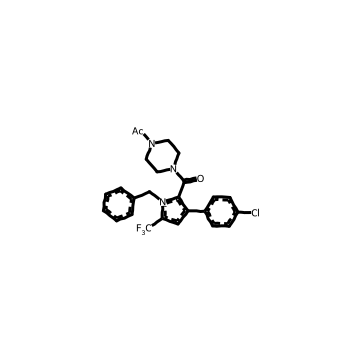 CC(=O)N1CCN(C(=O)c2c(-c3ccc(Cl)cc3)cc(C(F)(F)F)n2Cc2ccccc2)CC1